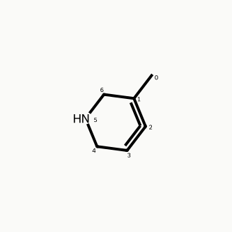 CC1=C=CCNC1